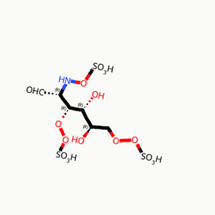 O=C[C@H](NOS(=O)(=O)O)[C@@H](OOS(=O)(=O)O)[C@H](O)[C@H](O)COOS(=O)(=O)O